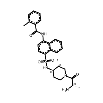 Cc1ccccc1C(=O)Nc1ccc(S(=O)(=O)N[C@@H]2CCN(C(=O)[C@H](C)N)C[C@H]2C)c2ccccc12